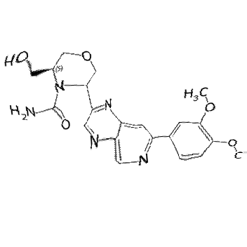 COc1ccc(-c2cc3nc(C4COC[C@H](CO)N4C(N)=O)cnc3cn2)cc1OC